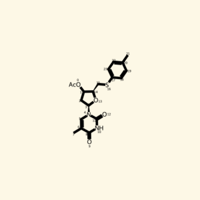 CC(=O)OC1C[C@H](n2cc(C)c(=O)[nH]c2=O)O[C@@H]1CSc1ccc(C)cc1